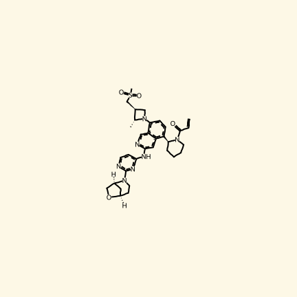 C=CC(=O)N1CCCC[C@H]1c1ccc(N2C[C@H](CS(C)(=O)=O)[C@H]2C)c2cnc(Nc3ccnc(N4CC[C@@H]5C[C@H]4CO5)n3)cc12